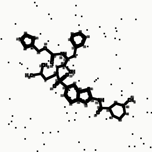 CC(C)CN(C[C@@H](O)[C@H](Cc1ccccc1)NC(=O)OCc1cncs1)S(=O)(=O)c1ccc2nc(NC(=O)C3CCCN(C)C3)sc2c1